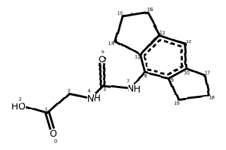 O=C(O)CNC(=O)Nc1c2c(cc3c1CCC3)CCC2